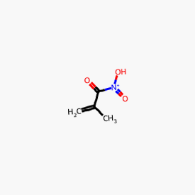 C=C(C)C(=O)[N+](=O)O